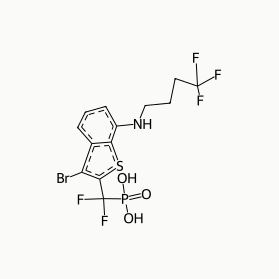 O=P(O)(O)C(F)(F)c1sc2c(NCCCC(F)(F)F)cccc2c1Br